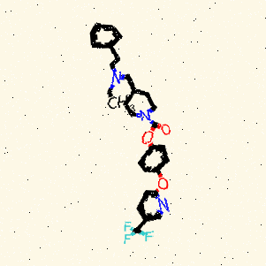 CCN(CCc1ccccc1)CC1CCN(C(=O)Oc2ccc(Oc3ccc(C(F)(F)F)cn3)cc2)CC1